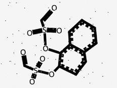 O=CS(=O)(=O)Oc1ccc2ccccc2c1OS(=O)(=O)C=O